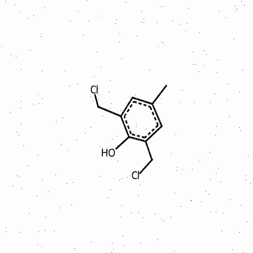 Cc1cc(CCl)c(O)c(CCl)c1